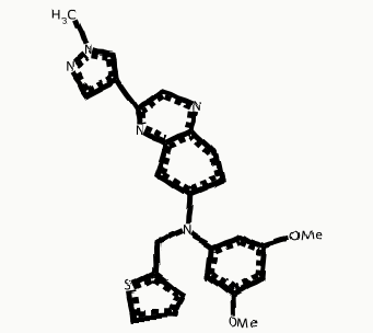 COc1cc(OC)cc(N(Cc2cccs2)c2ccc3ncc(-c4cnn(C)c4)nc3c2)c1